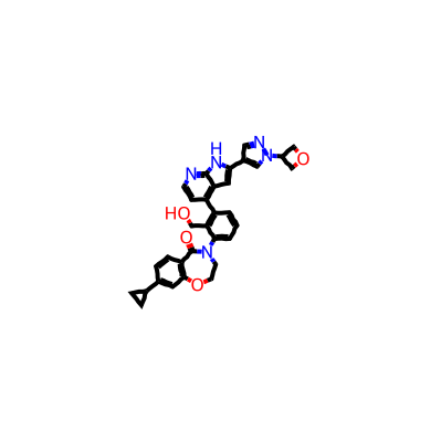 O=C1c2ccc(C3CC3)cc2OCCN1c1cccc(-c2ccnc3[nH]c(-c4cnn(C5COC5)c4)cc23)c1CO